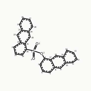 O=S(=O)(Oc1cccc2cc3ccccc3cc12)c1cccc2cc3ccccc3cc12